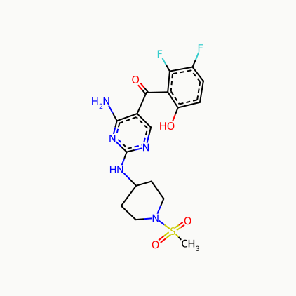 CS(=O)(=O)N1CCC(Nc2ncc(C(=O)c3c(O)ccc(F)c3F)c(N)n2)CC1